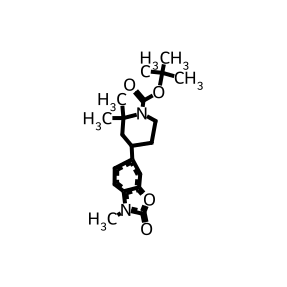 Cn1c(=O)oc2cc(C3CCN(C(=O)OC(C)(C)C)C(C)(C)C3)ccc21